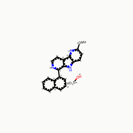 COc1ccc2[nH]c3c(-c4cccc5ccccc45)nccc3c2n1.O=S(=O)(O)O